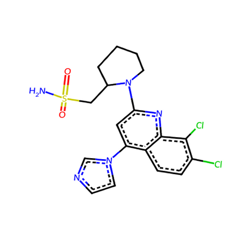 NS(=O)(=O)CC1CCCCN1c1cc(-n2ccnc2)c2ccc(Cl)c(Cl)c2n1